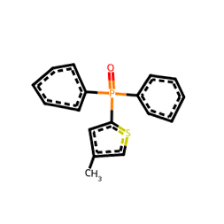 Cc1csc(P(=O)(c2ccccc2)c2ccccc2)c1